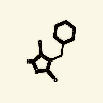 O=c1[nH]sc(=O)n1Cc1ccccc1